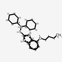 CCCCOc1cccc2sc(SN(C3CCCCC3)C3CCCCC3)nc12